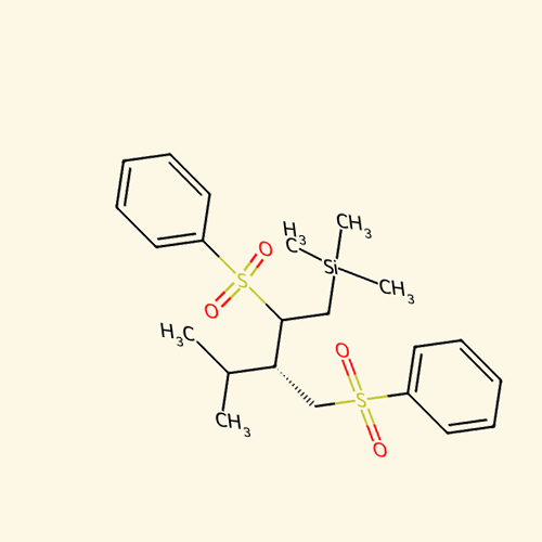 CC(C)[C@@H](CS(=O)(=O)c1ccccc1)C(C[Si](C)(C)C)S(=O)(=O)c1ccccc1